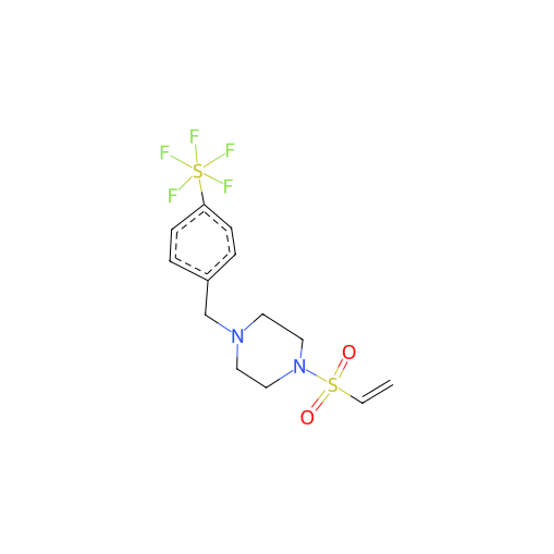 C=CS(=O)(=O)N1CCN(Cc2ccc(S(F)(F)(F)(F)F)cc2)CC1